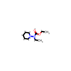 CCOC(=O)N(CC)N1CCCCC1